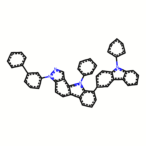 c1ccc(-c2cccc(-n3ncc4c3ccc3c5cccc(-c6ccc7c(c6)c6ccccc6n7-c6ccccc6)c5n(-c5ccccc5)c34)c2)cc1